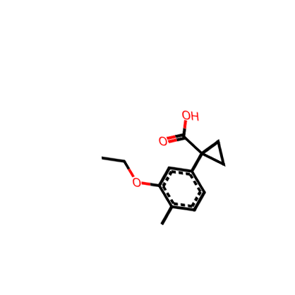 CCOc1cc(C2(C(=O)O)CC2)ccc1C